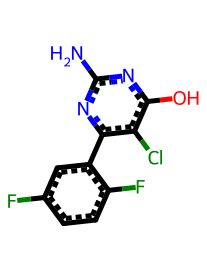 Nc1nc(O)c(Cl)c(-c2cc(F)ccc2F)n1